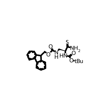 CC(C)(C)OC(=O)N[C@@H](CNC(=O)OCC1c2ccccc2-c2ccccc21)C(N)=S